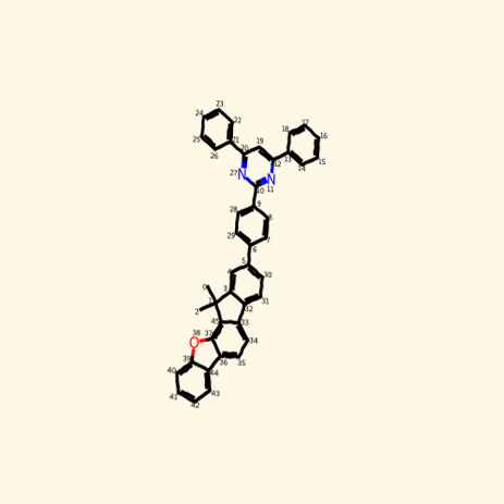 CC1(C)c2cc(-c3ccc(-c4nc(-c5ccccc5)cc(-c5ccccc5)n4)cc3)ccc2-c2ccc3c(oc4ccccc43)c21